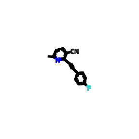 Cc1ccc(C#N)c(C#Cc2ccc(F)cc2)n1